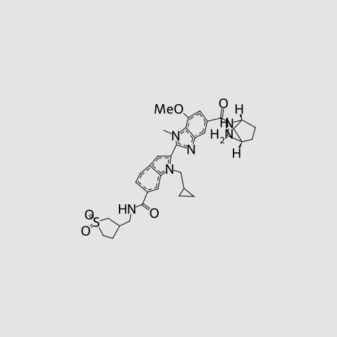 COc1cc(C(=O)N2C[C@H]3CC[C@@H]2[C@@H]3N)cc2nc(-c3cc4ccc(C(=O)NCC5CCS(=O)(=O)C5)cc4n3CC3CC3)n(C)c12